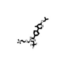 Cc1cc(OCC(C)C)ncc1-c1ccc(-c2nc(C(F)(F)F)n(COCC[Si](C)(C)C)n2)cc1